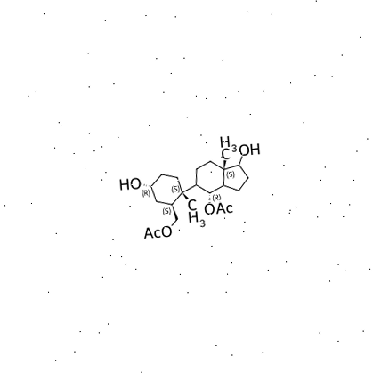 CC(=O)OC[C@H]1C[C@H](O)CC[C@]1(C)C1CC[C@]2(C)C(O)CCC2[C@@H]1OC(C)=O